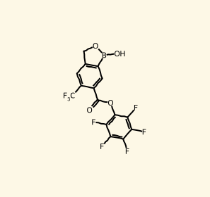 O=C(Oc1c(F)c(F)c(F)c(F)c1F)c1cc2c(cc1C(F)(F)F)COB2O